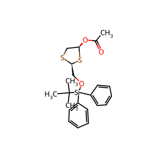 CC(=O)O[C@@H]1CS[C@H](CO[Si](c2ccccc2)(c2ccccc2)C(C)(C)C)S1